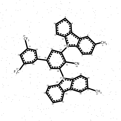 Cc1ccc2c(c1)c1ccccc1n2-c1cc(-c2cc(C(F)(F)F)cc(C(F)(F)F)c2)cc(-n2c3ccccc3c3cc(C)ccc32)c1C#N